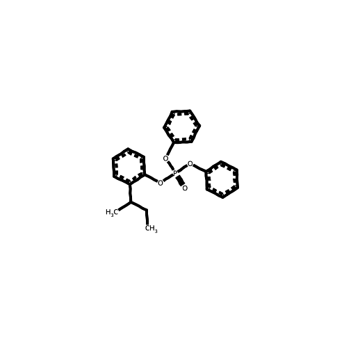 CCC(C)c1ccccc1OP(=O)(Oc1ccccc1)Oc1ccccc1